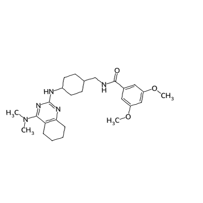 COc1cc(OC)cc(C(=O)NCC2CCC(Nc3nc4c(c(N(C)C)n3)CCCC4)CC2)c1